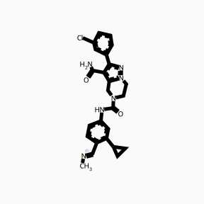 C/N=C/c1ccc(NC(=O)N2CCn3nc(-c4cccc(Cl)c4)c(C(N)=O)c3C2)cc1C1CC1